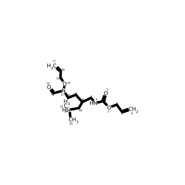 C=CCOC(=O)NCC(CCN(C=O)OCC=C)C[SiH](C)C